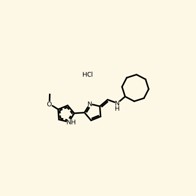 COc1c[nH]c(C2=NC(=CNC3CCCCCCC3)C=C2)c1.Cl